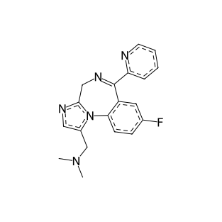 CN(C)Cc1cnc2n1-c1ccc(F)cc1C(c1ccccn1)=NC2